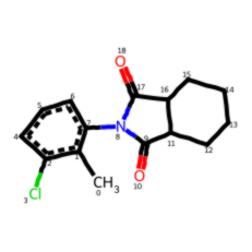 Cc1c(Cl)cccc1N1C(=O)C2CCCCC2C1=O